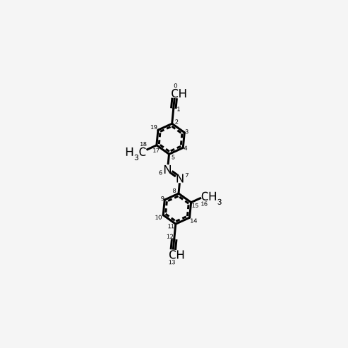 C#Cc1ccc(N=Nc2ccc(C#C)cc2C)c(C)c1